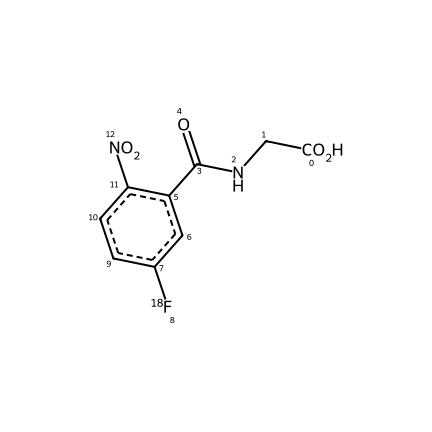 O=C(O)CNC(=O)c1cc([18F])ccc1[N+](=O)[O-]